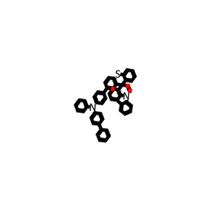 c1ccc(-c2ccc(N(c3ccccc3)c3ccc(-c4ccc5c(c4)C4(c6ccccc6S5)c5ccccc5-n5c6ccccc6c6cccc4c65)cc3)cc2)cc1